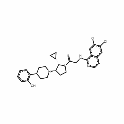 O=C(CNc1ncnc2cc(Cl)c(Cl)cc12)N1CC[C@@H](N2CCC(c3ccccc3O)CC2)[C@@H]1C1CC1